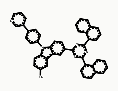 N#Cc1ccc2c(c1)c1cc(-c3nc(-c4cccc5ccccc45)nc(-c4cccc5ccccc45)n3)ccc1n2-c1ccc(-c2cccnc2)cc1